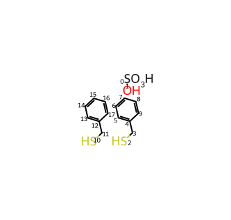 O=S(=O)(O)O.SCc1ccccc1.SCc1ccccc1